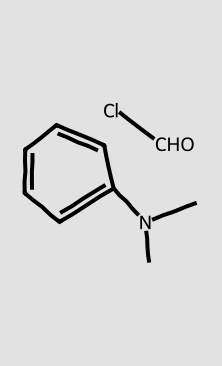 CN(C)c1ccccc1.O=CCl